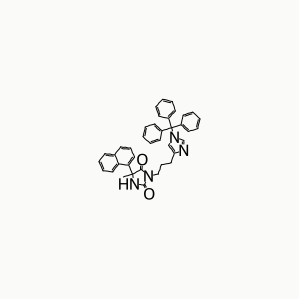 CC1(c2cccc3ccccc23)NC(=O)N(CCCc2cn(C(c3ccccc3)(c3ccccc3)c3ccccc3)cn2)C1=O